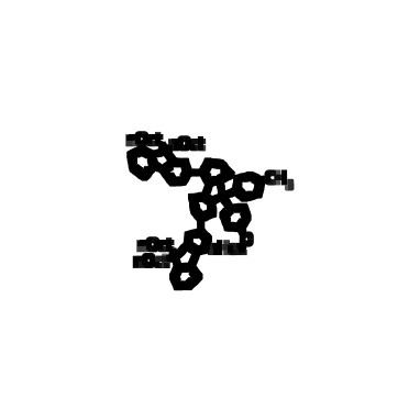 CCCCCCCCC1(CCCCCCCC)c2ccccc2-c2ccc(-c3ccc4c(c3)C(c3ccc(C)cc3)(c3ccc(OCCCCCC)cc3)c3cccc(-c5ccc6c(c5)C(CCCCCCCC)(CCCCCCCC)c5ccccc5-6)c3-4)cc21